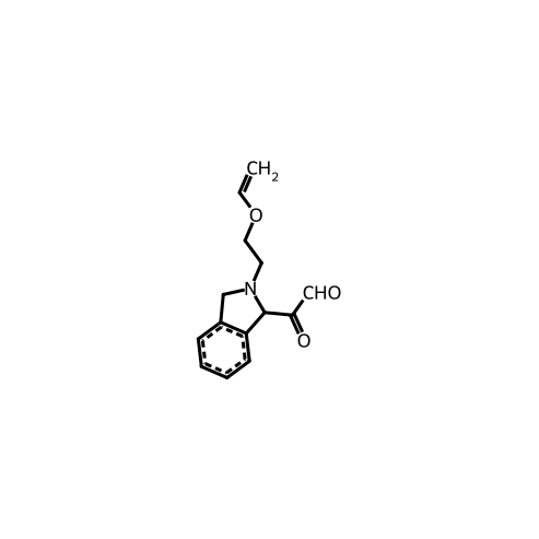 C=COCCN1Cc2ccccc2C1C(=O)C=O